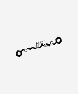 O=C(CNCCCCOCc1ccccc1)NCCOCc1ccccc1